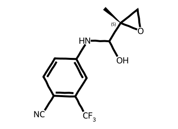 C[C@@]1(C(O)Nc2ccc(C#N)c(C(F)(F)F)c2)CO1